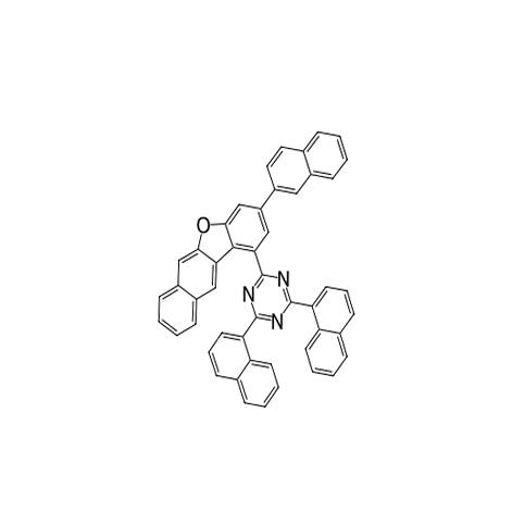 c1ccc2cc(-c3cc(-c4nc(-c5cccc6ccccc56)nc(-c5cccc6ccccc56)n4)c4c(c3)oc3cc5ccccc5cc34)ccc2c1